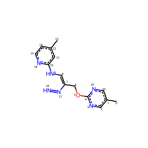 Cc1cnc(OC/C(=C/Nc2cc(C)ccn2)N=N)nc1